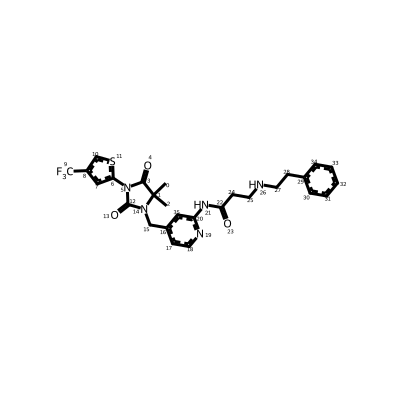 CC1(C)C(=O)N(c2cc(C(F)(F)F)cs2)C(=O)N1Cc1ccnc(NC(=O)CCNCCc2ccccc2)c1